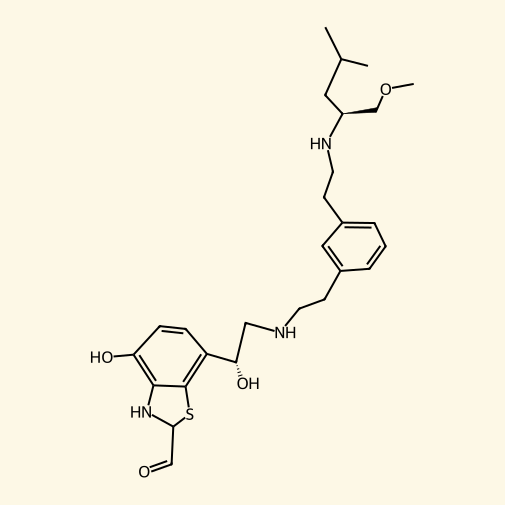 COC[C@H](CC(C)C)NCCc1cccc(CCNC[C@H](O)c2ccc(O)c3c2SC(C=O)N3)c1